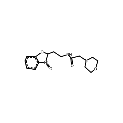 O=C(CN1CCOCC1)NCCC1Oc2ccccc2[N+]1=O